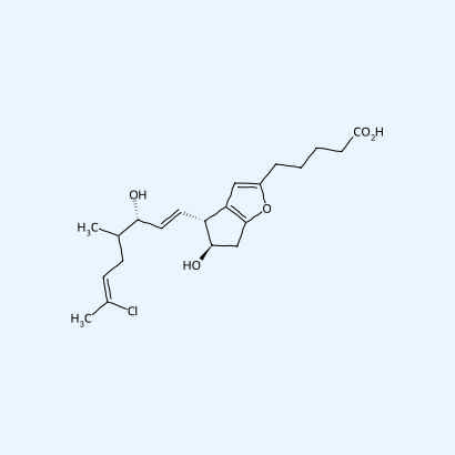 C/C(Cl)=C/CC(C)[C@H](O)/C=C/[C@@H]1c2cc(CCCCC(=O)O)oc2C[C@H]1O